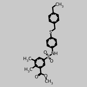 CCc1ccc(CSc2ccc(NS(=O)(=O)c3cc(C)c(C)c(C(=O)OC)c3)cc2)cc1